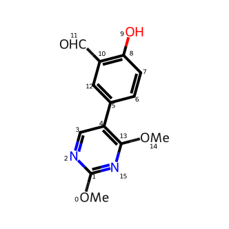 COc1ncc(-c2ccc(O)c(C=O)c2)c(OC)n1